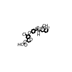 CN(C)c1ncccc1CCNC(=O)c1ccc(Oc2cc3c(cc2Cl)C(OC(=O)O)CCO3)cc1